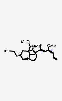 C=C/C=C(\C=C(/C)C1=C(NC)C2(C(=O)OC)C[C@H](CCC(C)CC)CN(CC1)C2C)OC